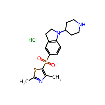 Cc1nc(C)c(S(=O)(=O)c2ccc3c(c2)CCN3C2CCNCC2)s1.Cl